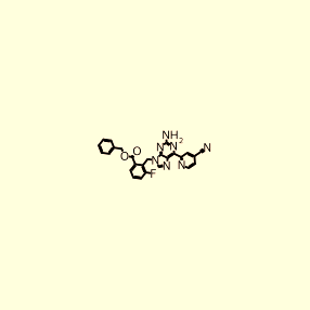 N#Cc1ccnc(-c2nc(N)nc3c2ncn3Cc2c(F)cccc2C(=O)OCc2ccccc2)c1